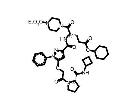 CCOC(=O)N1CCN(C(=O)[C@H](CCC(=O)OC2CCCCC2)NC(=O)c2cc(OCC(=O)N3CCC[C@H]3C(=O)NC3CCC3)n(-c3ccccc3)n2)CC1